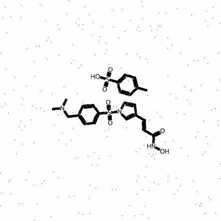 CN(C)Cc1ccc(S(=O)(=O)n2ccc(C=CC(=O)NO)c2)cc1.Cc1ccc(S(=O)(=O)O)cc1